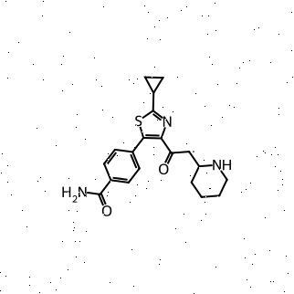 NC(=O)c1ccc(-c2sc(C3CC3)nc2C(=O)[CH]C2CCCCN2)cc1